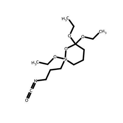 CCOC1(OCC)CCC[Si](CCCN=C=O)(OCC)O1